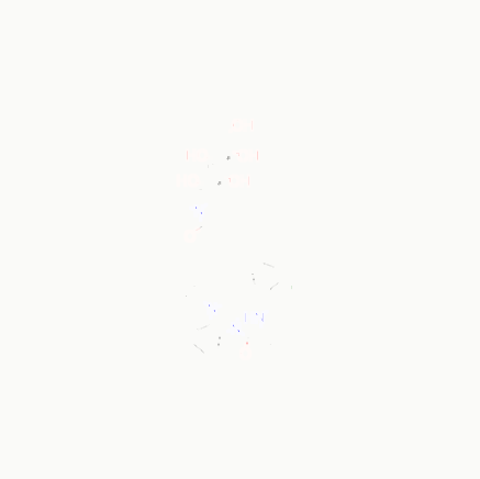 CN(C[C@H](O)[C@@H](O)[C@H](O)[C@H](O)CO)C(=O)CCCCc1ccc(Cl)c(CNC2(C(=O)N3CCN(C4CC4)c4ccccc43)CC2)c1